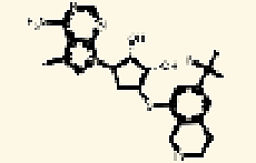 CC(F)(F)c1cc2c(c(O[C@H]3CC(n4cc(F)c5c(N)ncnc54)[C@H](O)[C@@H]3O)c1)CNCC2